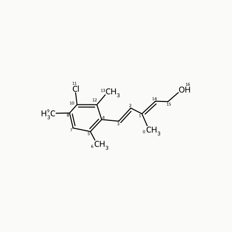 CC(/C=C/c1c(C)cc(C)c(Cl)c1C)=C\CO